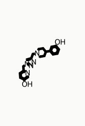 Oc1ccc(Cn2cc(CN3CCC(c4cccc(O)c4)CC3)nn2)nc1